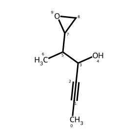 CC#CC(O)C(C)C1CO1